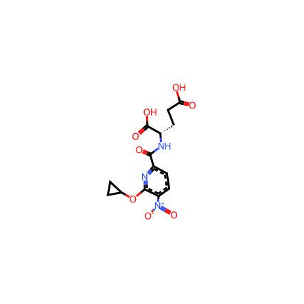 O=C(O)CC[C@H](NC(=O)c1ccc([N+](=O)[O-])c(OC2CC2)n1)C(=O)O